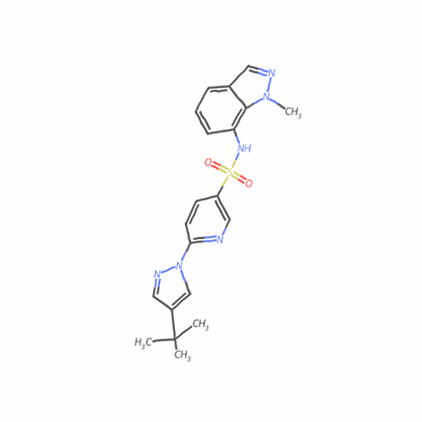 Cn1ncc2cccc(NS(=O)(=O)c3ccc(-n4cc(C(C)(C)C)cn4)nc3)c21